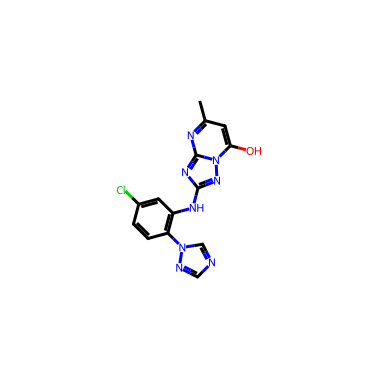 Cc1cc(O)n2nc(Nc3cc(Cl)ccc3-n3cncn3)nc2n1